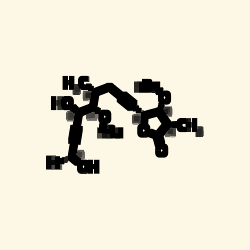 CCCCO[C@H]([C@H](O)C#C[C@H](O)CC)[C@H](C)CC#C[C@H]1OC(=O)[C@H](C)[C@H]1OCCCC